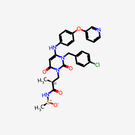 C[C@@H](Cn1c(=O)cc(Nc2ccc(Oc3cccnc3)cc2)n(Cc2ccc(Cl)cc2)c1=O)C(=O)N[S+](C)[O-]